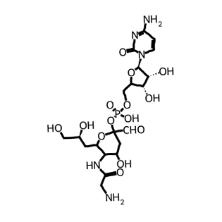 NCC(=O)NC1C(O)CC(C=O)(OP(=O)(O)OCC2O[C@@H](n3ccc(N)nc3=O)[C@H](O)[C@@H]2O)OC1C[C@H](O)CO